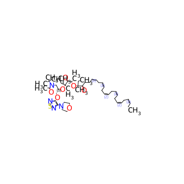 CC/C=C\C/C=C\C/C=C\C/C=C\C/C=C\C/C=C\CCC(=O)C(C)(CC)OC(C)C(=O)C(C)(CC)O[C@H](COc1nsnc1N1CCOCC1)CN(C(C)=O)C(C)(C)C